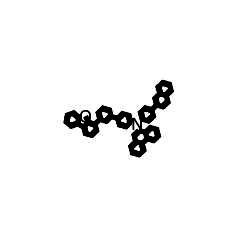 c1cc(-c2ccc(N(c3ccc(-c4ccc5ccccc5c4)cc3)c3cc4ccccc4c4ccccc34)cc2)cc(-c2cccc3c2oc2ccccc23)c1